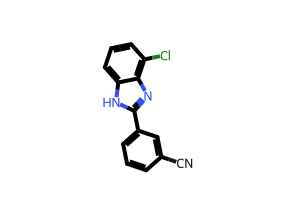 N#Cc1cccc(-c2nc3c(Cl)cccc3[nH]2)c1